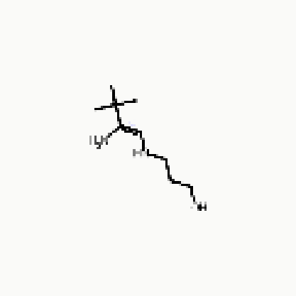 CC(C)(C)/C(N)=C/NCCCO